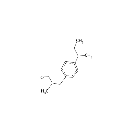 CCC(C)c1ccc(CC(C)C=O)cc1